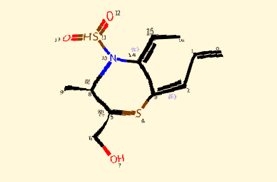 C=C/C=C1/S[C@@H](CO)[C@@H](C)N([SH](=O)=O)/C1=C/C